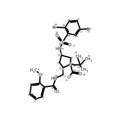 COc1ccccc1C(=O)NC[C@H]1C[C@@H](NS(=O)(=O)c2cc(Br)ccc2Br)C[N+]1(C(=O)[O-])C(C)(C)C